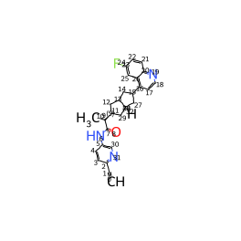 C#Cc1ccc(NC(=O)C(C)[C@H]2CC3CC(c4ccnc5ccc(F)cc45)C[C@H]3C2)cn1